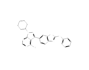 Nc1ncnc2c1c(-c1ccc3nc(Nc4ccccc4)oc3c1)nn2C1CCCCC1